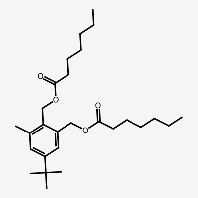 CCCCCCC(=O)OCc1cc(C(C)(C)C)cc(C)c1COC(=O)CCCCCC